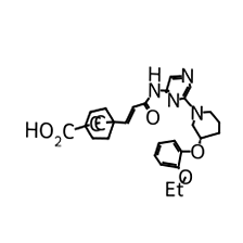 CCOc1ccccc1O[C@@H]1CCCN(c2cncc(NC(=O)/C=C/C34CCC(C(=O)O)(CC3)CC4)n2)C1